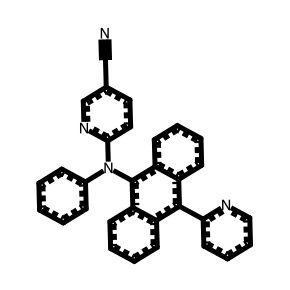 N#Cc1ccc(N(c2ccccc2)c2c3ccccc3c(-c3ccccn3)c3ccccc23)nc1